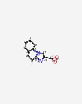 c1ccc2c(c1)ccc1nc(C3OO3)cn12